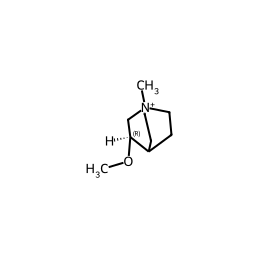 CO[C@H]1C[N+]2(C)CCC1CC2